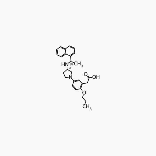 CCCOc1ccc(N2CC[C@H](N[C@H](C)c3cccc4ccccc34)C2)cc1CC(=O)O